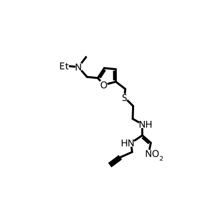 C#CCNC(=C[N+](=O)[O-])NCCSCc1ccc(CN(C)CC)o1